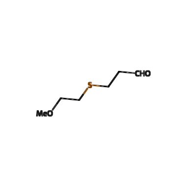 COCCSCCC=O